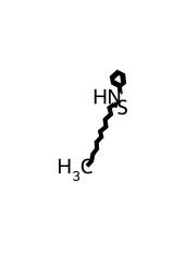 CCCCCCCCCCCC(=S)NCc1ccccc1